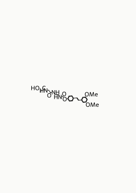 COc1cc(C=Cc2ccc(OC(=O)NCCNC(=O)CNC(=O)O)cc2)cc(OC)c1